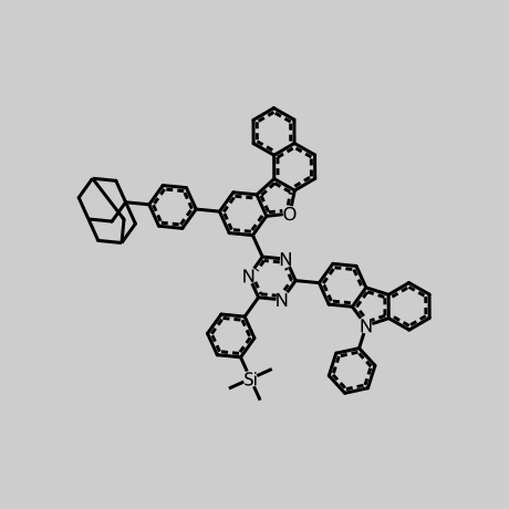 C[Si](C)(C)c1cccc(-c2nc(-c3ccc4c5ccccc5n(-c5ccccc5)c4c3)nc(-c3cc(-c4ccc(C56CC7CC(CC(C7)C5)C6)cc4)cc4c3oc3ccc5ccccc5c34)n2)c1